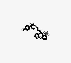 CS(=O)(=O)c1cccc2c1C/C(=C/CCN1CCC(O)(c3ccc(Cl)cc3)CC1)c1cccnc1O2